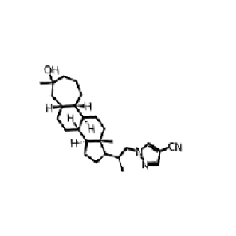 C[C@H](Cn1cc(C#N)cn1)[C@H]1CC[C@H]2[C@@H]3CC[C@@H]4C[C@](C)(O)CCC[C@@H]4[C@H]3CC[C@]12C